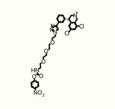 CN1Cc2c(Cl)cc(Cl)cc2[C@H](c2cccc(-c3cn(CCOCCOCCOCCNC(=O)Oc4ccc([N+](=O)[O-])cc4)nn3)c2)C1